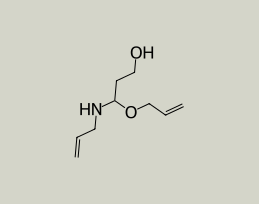 C=CCNC(CCO)OCC=C